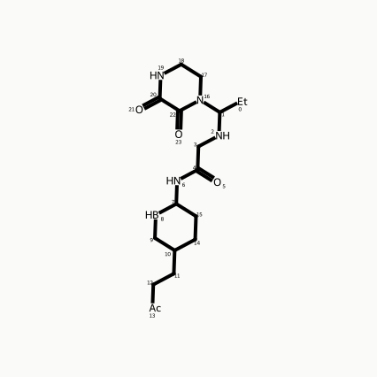 CCC(NCC(=O)NC1BCC(CCC(C)=O)CC1)N1CCNC(=O)C1=O